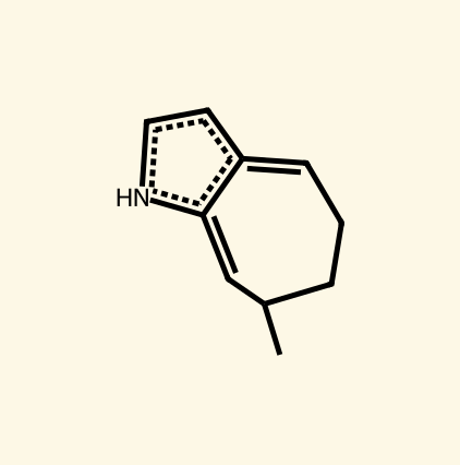 CC1C=c2[nH]ccc2=CCC1